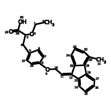 CCOC(Cc1ccc(OCC=C2c3ccccc3-c3c(C)cccc32)cc1)C(=O)O